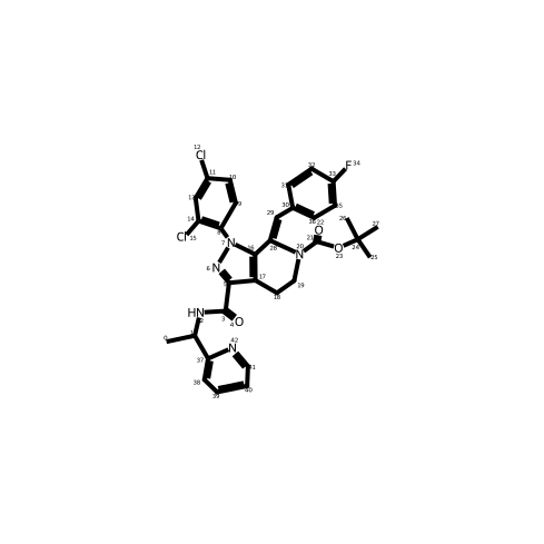 CC(NC(=O)c1nn(-c2ccc(Cl)cc2Cl)c2c1CCN(C(=O)OC(C)(C)C)C2=Cc1ccc(F)cc1)c1ccccn1